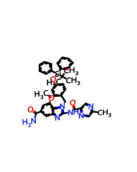 COc1cc(C(N)=O)cc2nc(NC(=O)c3cnc(C)cn3)n(Cc3ccc(O[Si](c4ccccc4)(c4ccccc4)C(C)(C)C)cc3)c12